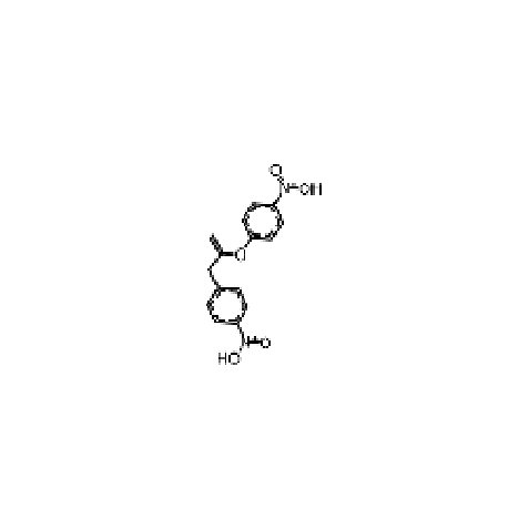 C=C(Cc1ccc([N+](=O)O)cc1)Oc1ccc([N+](=O)O)cc1